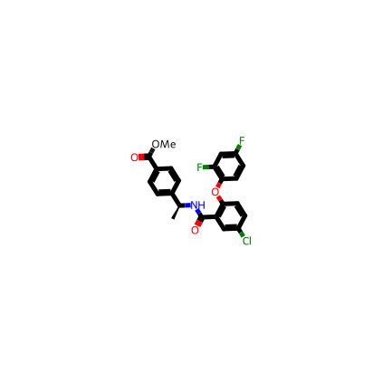 COC(=O)c1ccc([C@H](C)NC(=O)c2cc(Cl)ccc2Oc2ccc(F)cc2F)cc1